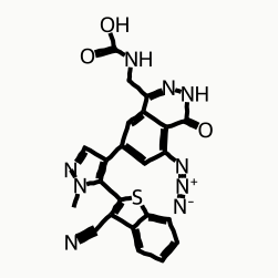 Cn1ncc(-c2cc(N=[N+]=[N-])c3c(=O)[nH]nc(CNC(=O)O)c3c2)c1-c1sc2ccccc2c1C#N